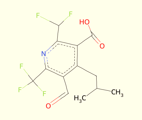 CC(C)Cc1c(C=O)c(C(F)(F)F)nc(C(F)F)c1C(=O)O